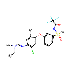 CCN(C)C=Nc1cc(C)c(Oc2cccc(S(C)(=O)=NC(=O)C(F)(F)F)c2)cc1Cl